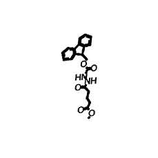 COC(=O)CCCC(=O)NNC(=O)OCC1c2ccccc2-c2ccccc21